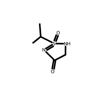 CC(C)S1(=O)=NC(=O)CN1